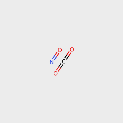 O=C=O.[N]=O